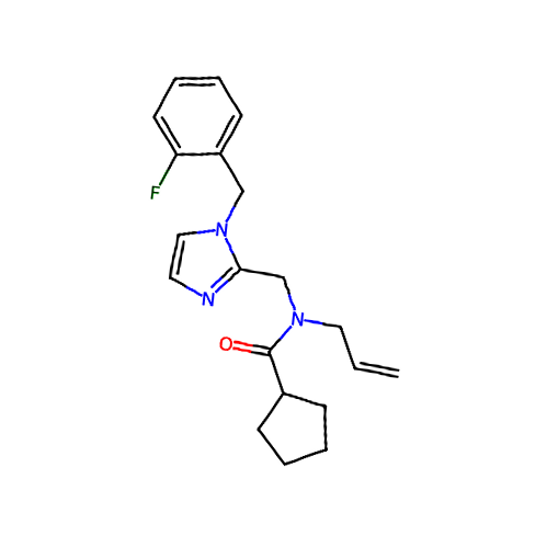 C=CCN(Cc1nccn1Cc1ccccc1F)C(=O)C1CCCC1